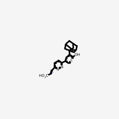 O=C(O)/C=C/c1ccc(-c2ccc(O)c(C34CC5CC(CC(C5)C3)C4)c2)nn1